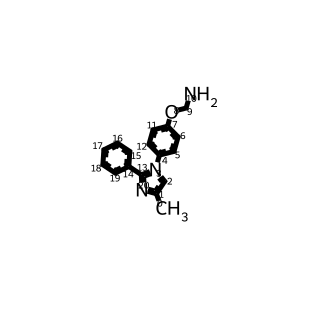 Cc1cn(-c2ccc(OCN)cc2)c(-c2ccccc2)n1